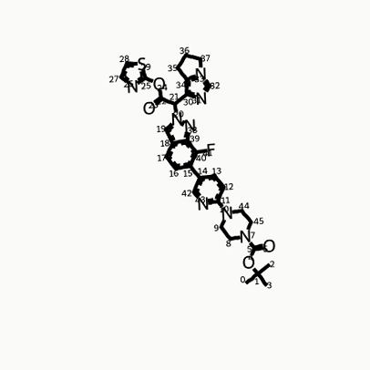 CC(C)(C)OC(=O)N1CCN(c2ccc(-c3ccc4cn(C(C(=O)Oc5nccs5)c5ncn6c5CCC6)nc4c3F)cn2)CC1